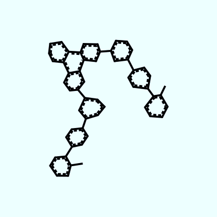 Cc1ccccc1-c1ccc(-c2cccc(-c3ccc4c5ccccc5c5ccc(-c6cccc(-c7ccc(-c8ccccc8C)cc7)c6)cc5c4c3)c2)cc1